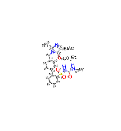 CCCNC(=O)NS(=O)(=O)c1ccccc1-c1ccc(Cn2c(CCC)nc(SC)c2OC(=O)OCC)cc1